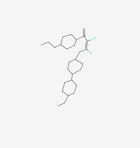 C=C(/C(F)=C(/F)CC1CCC(C2CCC(CC)CC2)CC1)C1CCC(CCC)CC1